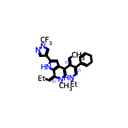 C/C=C(C1=CN(C)/C(=C/CC)c2[nH]c(-c3cnn(C(F)(F)F)c3)cc21)\C(=C/NCC)C1=CCCC=C1